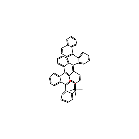 CC(C)(C)c1ccc2c(-c3ccccc3-c3cccc4ccccc34)c3ccccc3c(-c3ccccc3-c3cccc4ccccc34)c2c1